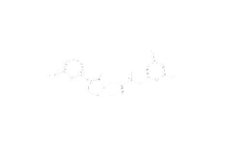 O=C(NCc1cc(F)cc(Cl)c1)O[C@@]1(O)CCN(c2cccc(Cl)c2)C1=O